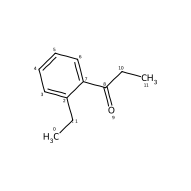 C[CH]c1ccccc1C(=O)CC